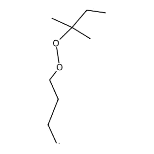 [CH2]CCCOOC(C)(C)CC